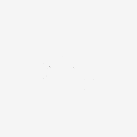 O=[N+]([O-])[O-].O=[N+]([O-])[O-].O=[N+]([O-])[O-].O=[N+]([O-])[O-].[Zr+4]